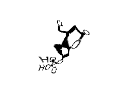 O=c1cc(CCl)c2ccc(OP(=O)(O)O)cc2o1